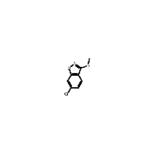 COc1noc2cc(Cl)ccc12